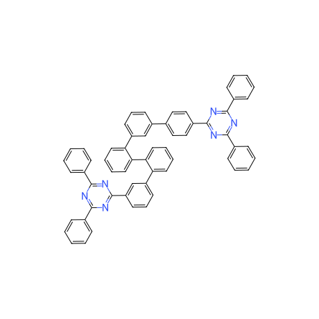 c1ccc(-c2nc(-c3ccccc3)nc(-c3ccc(-c4cccc(-c5ccccc5-c5ccccc5-c5cccc(-c6nc(-c7ccccc7)nc(-c7ccccc7)n6)c5)c4)cc3)n2)cc1